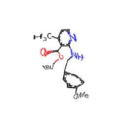 COc1ccc(CNc2nccc(C)c2C(=O)OC(C)(C)C)cc1